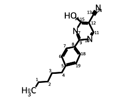 CCCCCc1ccc(-c2ncc(C#N)c(O)n2)cc1